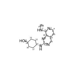 CC(C)Nc1nccc2cnc(N[C@H]3CC[C@H](O)CC3)nc12